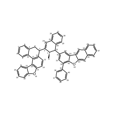 C[C@H]1C(C2Cc3ccccc3-c3c2ccc2oc4ccccc4c32)=Nc2ccccc2C1c1cc(-c2ccccc2)c2oc3cc4ccccc4cc3c2c1